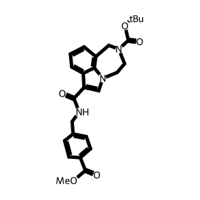 COC(=O)c1ccc(CNC(=O)c2cn3c4c(cccc24)CN(C(=O)OC(C)(C)C)CC3)cc1